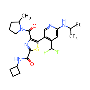 CCC(Nc1cc(C(F)F)c(-c2sc(C(=O)NC3CCC3)nc2C(=O)N2CCCC2C)cn1)C(F)(F)F